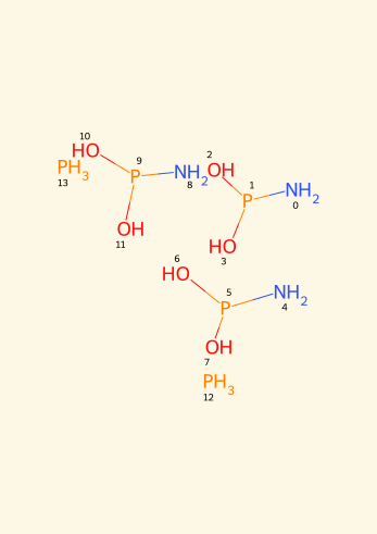 NP(O)O.NP(O)O.NP(O)O.P.P